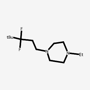 CCN1CCN(CCC(F)(F)C(C)(C)C)CC1